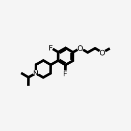 COCCOc1cc(F)c(C2CCN(C(C)C)CC2)c(F)c1